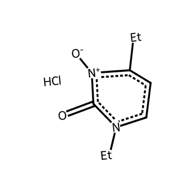 CCc1ccn(CC)c(=O)[n+]1[O-].Cl